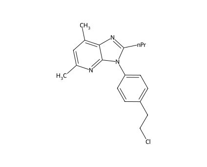 CCCc1nc2c(C)cc(C)nc2n1-c1ccc(CCCl)cc1